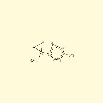 O=[C]C1(c2ccc(Cl)cc2)CC1